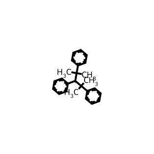 CC(C)([C](c1ccccc1)C(C)(C)c1ccccc1)c1ccccc1